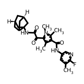 Cc1cc(NC(=O)c2c(C)c(C(=O)C(=O)NC34C[C@@H]5CC3C[C@@H](C5)C4)n(C)c2C)cnc1F